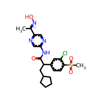 C/C(=N\O)c1cnc(NC(=O)C(CC2CCCC2)c2ccc(S(C)(=O)=O)c(Cl)c2)cn1